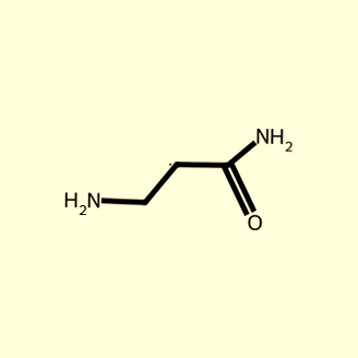 NC[CH]C(N)=O